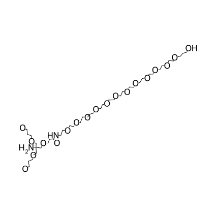 NC(COCCC=O)(COCCC=O)COCCC(=O)NCCOCCOCCOCCOCCOCCOCCOCCOCCOCCOCCOCCOCCCO